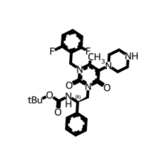 Cc1c(N2CCNCC2)c(=O)n(C[C@H](NC(=O)OC(C)(C)C)c2ccccc2)c(=O)n1Cc1c(F)cccc1F